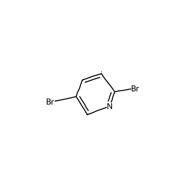 Brc1c[c]c(Br)nc1